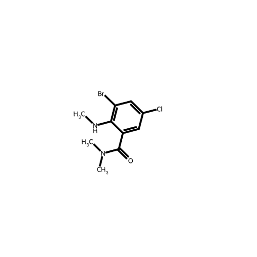 CNc1c(Br)cc(Cl)cc1C(=O)N(C)C